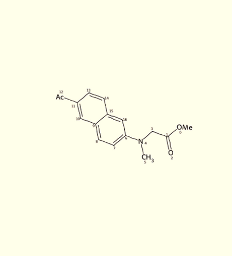 COC(=O)CN(C)c1ccc2cc(C(C)=O)ccc2c1